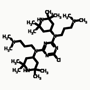 CN(C)CCCN(c1nc(Cl)nc(N(CCCN(C)C)C2CC(C)(C)NC(C)(C)C2)n1)C1CC(C)(C)NC(C)(C)C1